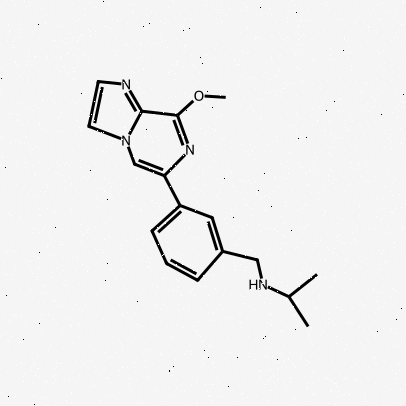 COc1nc(-c2cccc(CNC(C)C)c2)cn2ccnc12